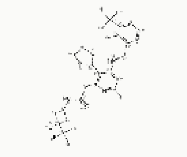 Cc1nc(CC(=O)NC2CC(O)(C(F)(F)F)C2)c(C2OCCO2)c(NCc2cccc(C(F)(F)F)c2C)n1